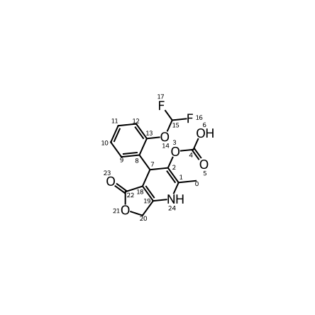 CC1=C(OC(=O)O)C(c2ccccc2OC(F)F)C2=C(COC2=O)N1